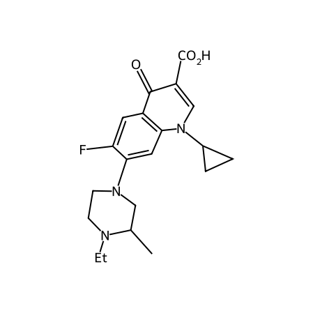 CCN1CCN(c2cc3c(cc2F)c(=O)c(C(=O)O)cn3C2CC2)CC1C